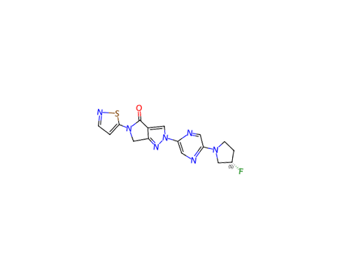 O=C1c2cn(-c3cnc(N4CC[C@H](F)C4)cn3)nc2CN1c1ccns1